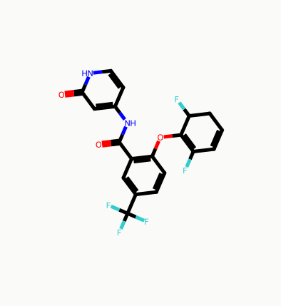 O=C(Nc1cc[nH]c(=O)c1)c1cc(C(F)(F)F)ccc1OC1=C(F)C=CCC1F